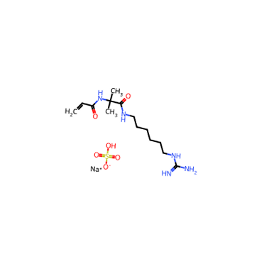 C=CC(=O)NC(C)(C)C(=O)NCCCCCCNC(=N)N.O=S(=O)([O-])O.[Na+]